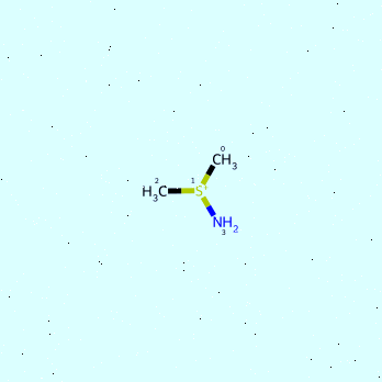 C[S+](C)N